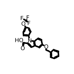 O=C(O)c1cc2cc(OCc3ccccc3)ccc2n1-c1ccc(OC(F)(F)F)cc1